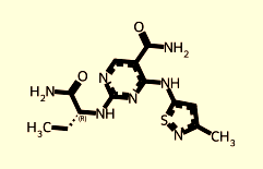 CC[C@@H](Nc1ncc(C(N)=O)c(Nc2cc(C)ns2)n1)C(N)=O